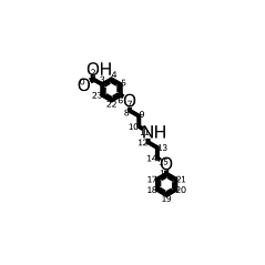 O=C(O)c1ccc(OCCCNCCCOc2ccccc2)cc1